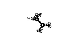 CCOC(=O)c1cc(C#Cc2cc(OCC(=O)OC)cc(OCC(=O)OC)c2)cc(CO)n1